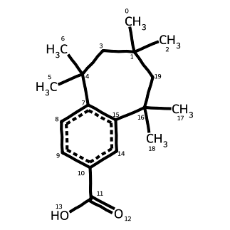 CC1(C)CC(C)(C)c2ccc(C(=O)O)cc2C(C)(C)C1